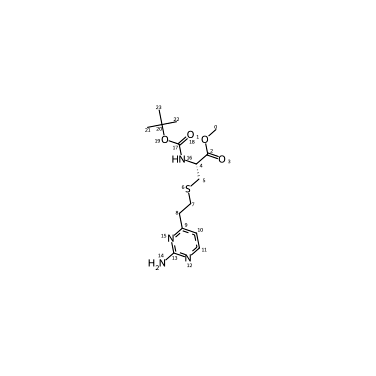 COC(=O)[C@H](CSCCc1ccnc(N)n1)NC(=O)OC(C)(C)C